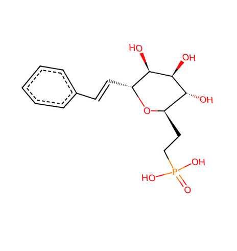 O=P(O)(O)CC[C@H]1O[C@H](/C=C/c2ccccc2)[C@@H](O)[C@@H](O)[C@@H]1O